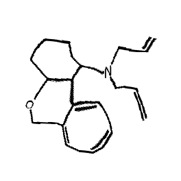 C=CCN(CC=C)C1CCCC2OCc3ccccc3C21